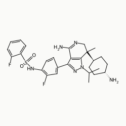 CC(C)n1nc(-c2ccc(NS(=O)(=O)c3ccccc3F)c(F)c2)c2c1C(C)([C@H]1CC[C@H](N)CC1)CN=C2N